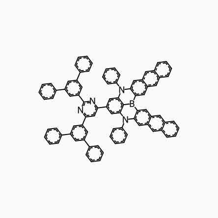 c1ccc(-c2cc(-c3ccccc3)cc(-c3cc(-c4cc5c6c(c4)N(c4ccccc4)c4cc7cc8ccccc8cc7cc4B6c4cc6cc7ccccc7cc6cc4N5c4ccccc4)nc(-c4cc(-c5ccccc5)cc(-c5ccccc5)c4)n3)c2)cc1